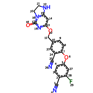 N#Cc1ccc(Oc2ccc(COc3cc4n(c(=O)n3)CCN4)cc2C#N)cc1F